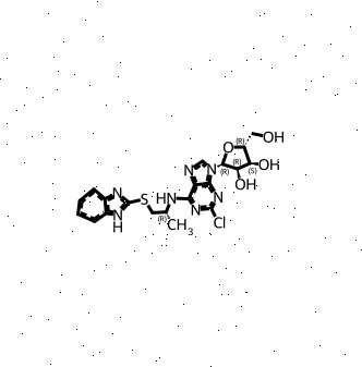 C[C@H](CSc1nc2ccccc2[nH]1)Nc1nc(Cl)nc2c1ncn2[C@@H]1O[C@H](CO)[C@@H](O)[C@H]1O